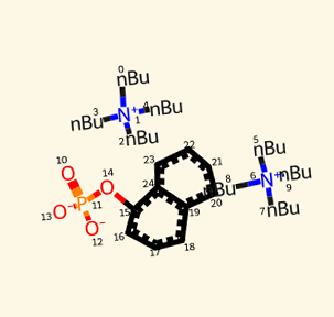 CCCC[N+](CCCC)(CCCC)CCCC.CCCC[N+](CCCC)(CCCC)CCCC.O=P([O-])([O-])Oc1cccc2ccccc12